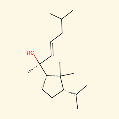 CC(C)C/C=C/[C@](C)(O)[C@H]1CC[C@@H](C(C)C)C1(C)C